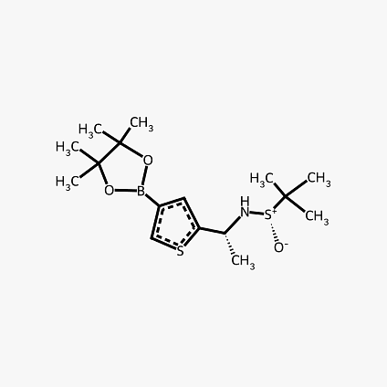 C[C@@H](N[S@@+]([O-])C(C)(C)C)c1cc(B2OC(C)(C)C(C)(C)O2)cs1